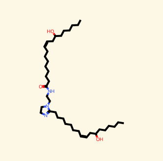 CCCCCCC(O)C/C=C\CCCCCCCC(=O)NCCN1CCN=C1CCCCCCC/C=C\CC(O)CCCCCC